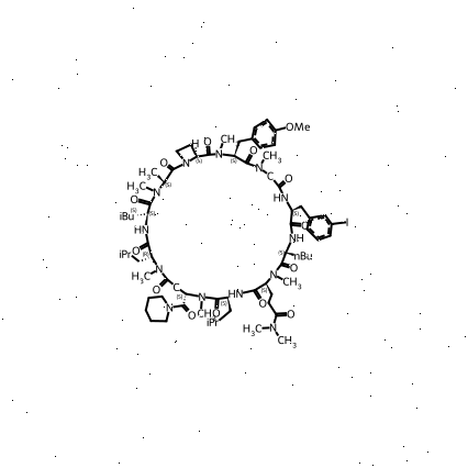 CCCC[C@@H]1NC(=O)[C@H](Cc2cccc(I)c2)NC(=O)CN(C)C(=O)[C@H](Cc2ccc(OC)cc2)N(C)C(=O)[C@@H]2CCN2C(=O)[C@H](C)N(C)C(=O)[C@H]([C@@H](C)CC)NC(=O)[C@@H](CC(C)C)N(C)C(=O)C[C@@H](C(=O)N2CCCCC2)N(C)C(=O)[C@H](CC(C)C)NC(=O)[C@H](CCC(=O)N(C)C)N(C)C1=O